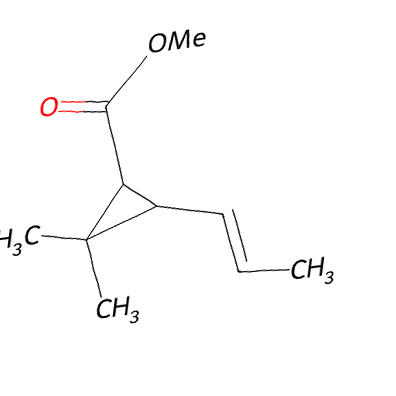 C/C=C/C1C(C(=O)OC)C1(C)C